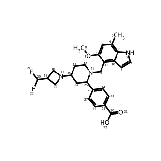 COc1cc(C)c2[nH]ccc2c1CN1CCC(N2CC(C(F)F)C2)CC1c1ccc(C(=O)O)cc1